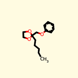 CCCCCC1(COc2ccccc2)OCCO1